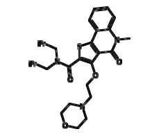 CC(C)CN(CC(C)C)C(=O)c1sc2c(c1OCCN1CCOCC1)c(=O)n(C)c1ccccc21